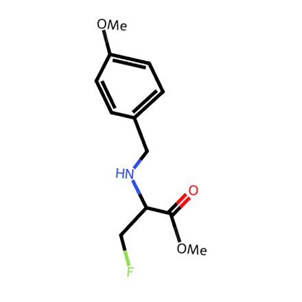 COC(=O)C(CF)NCc1ccc(OC)cc1